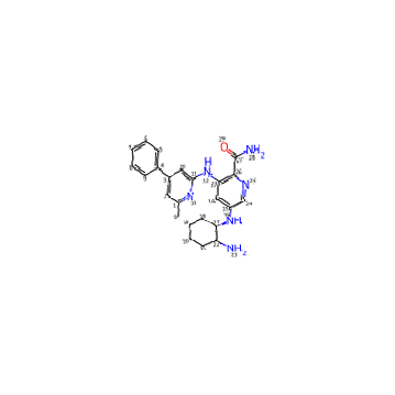 Cc1cc(-c2ccccc2)cc(Nc2cc(N[C@@H]3CCCC[C@@H]3N)cnc2C(N)=O)n1